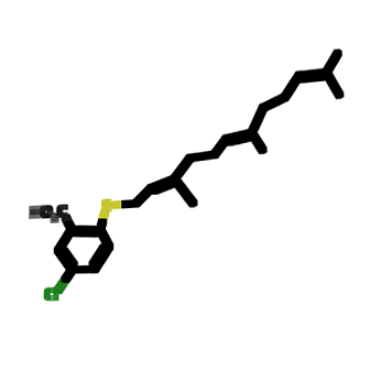 CC(C)=CCC/C(C)=C/CC/C(C)=C/CSc1ccc(Cl)cc1C(=O)O